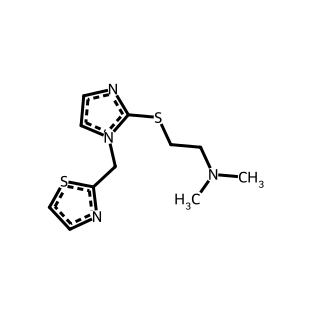 CN(C)CCSc1nccn1Cc1nccs1